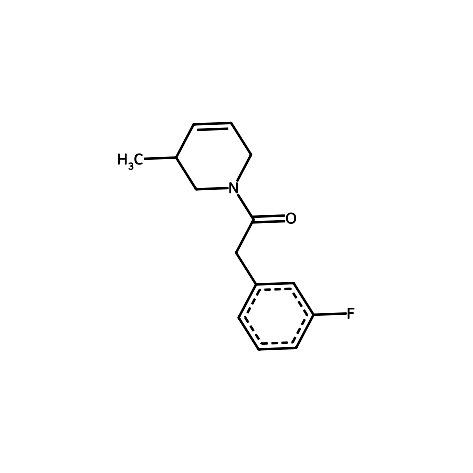 CC1C=CCN(C(=O)Cc2cccc(F)c2)C1